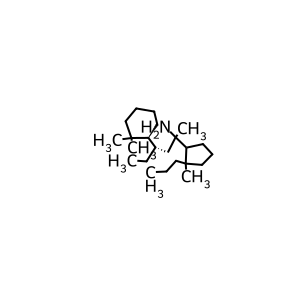 CCCC1(C)CCCC1C(C)(N)C[C@H](CC)[C@@H]1CCCCC1(C)C